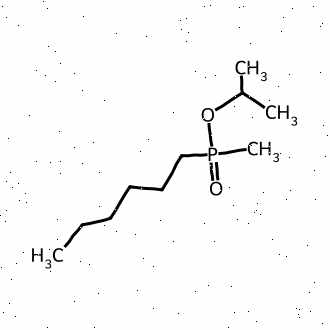 CCCCCCP(C)(=O)OC(C)C